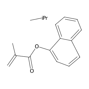 C=C(C)C(=O)Oc1cccc2ccccc12.CC(C)C